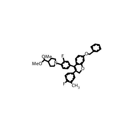 COC(OC)C1CCN(c2ccc(C3=C(c4ccc(F)c(C)c4)COc4cc(OCc5ccccc5)ccc43)cc2F)CC1